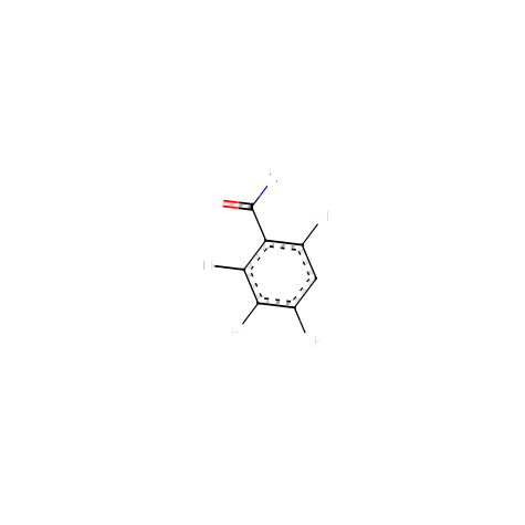 [2H]c1cc(C(F)(F)F)c([2H])c([2H])c1C(N)=O